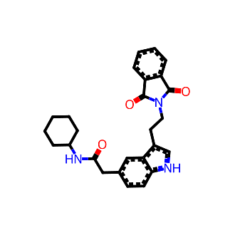 O=C(Cc1ccc2[nH]cc(CCN3C(=O)c4ccccc4C3=O)c2c1)NC1CCCCC1